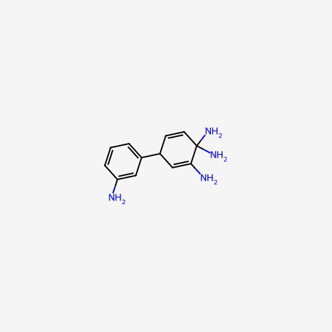 NC1=CC(c2cccc(N)c2)C=CC1(N)N